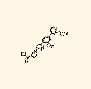 COc1cc(-c2ccc(-c3ccc(N4CCC(NC5CCC5)C4)nn3)c(O)c2)ccn1